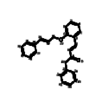 O=C(C=Cc1ccccc1OCC=Cc1ccccc1)Cc1cccnc1